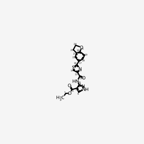 CCOC(=O)c1c[nH]nc1NC(=O)c1csc(-c2ccc3c(c2)CCO3)n1